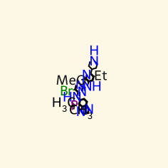 CCc1cc(Nc2ncc(Br)c(Nc3ccc4nccnc4c3P(C)C)n2)c(OC)nc1C1CCNCC1